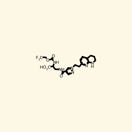 O=C(NC(CNC(=O)c1cnn(CCc2ccc3c(n2)NCCC3)c1)C(=O)O)OCC(F)(F)F